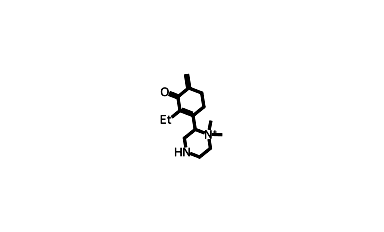 C=C1CCC(C2CNCC[N+]2(C)C)=C(CC)C1=O